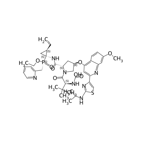 C=C[C@@H]1C[C@]1(NC(=O)[C@@H]1C[C@@H](Oc2cc(-c3csc(NC(C)C)n3)nc3cc(OC)ccc23)CN1C(=O)[C@@H](NC(=O)O)C(C)(C)C)[P@](=O)(Cc1ccccn1)OCC